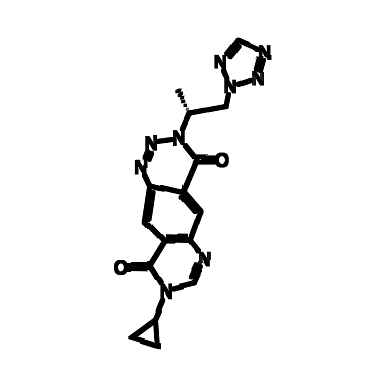 C[C@H](Cn1ncnn1)n1nnc2cc3c(=O)n(C4CC4)cnc3cc2c1=O